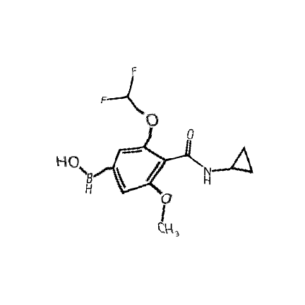 COc1cc(BO)cc(OC(F)F)c1C(=O)NC1CC1